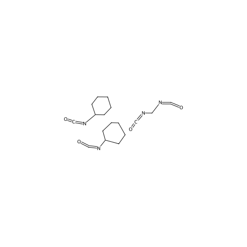 O=C=NC1CCCCC1.O=C=NC1CCCCC1.O=C=NCN=C=O